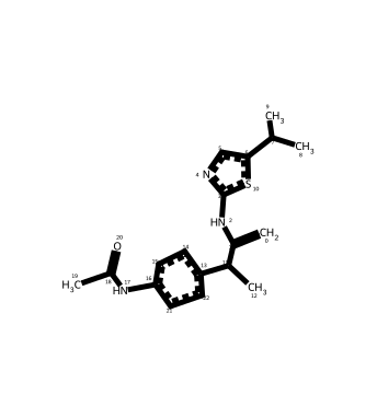 C=C(Nc1ncc(C(C)C)s1)C(C)c1ccc(NC(C)=O)cc1